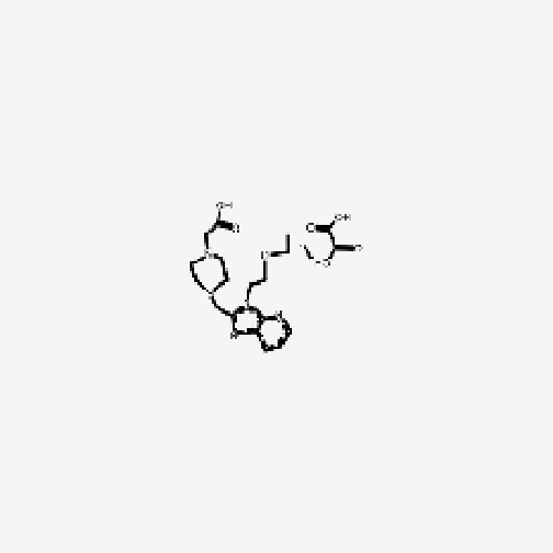 CCOCCn1c(CN2CCN(CC(=O)O)CC2)nc2cccnc21.O=C(O)C(=O)O.[CH2]C